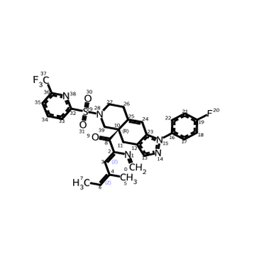 C=N/C(=C\C(C)=C/C)C(=O)[C@]12Cc3cnn(-c4ccc(F)cc4)c3C=C1CCN(S(=O)(=O)c1cccc(C(F)(F)F)n1)C2